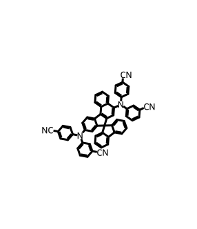 N#Cc1ccc(N(c2cccc(C#N)c2)c2ccc3c(c2)C2(c4ccccc4-c4ccccc42)c2cc(N(c4ccc(C#N)cc4)c4cccc(C#N)c4)c4ccccc4c2-3)cc1